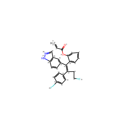 C=CC(=O)Oc1ccccc1/C(=C(\CCF)c1ccc(F)cc1)c1ccc2[nH]ncc2c1